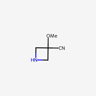 COC1(C#N)CNC1